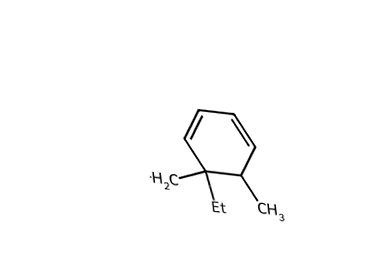 [CH2]C1(CC)C=CC=CC1C